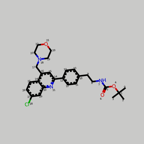 CC(C)(C)OC(=O)NCCc1ccc(-c2cc(CN3CCOCC3)c3ccc(Cl)cc3n2)cc1